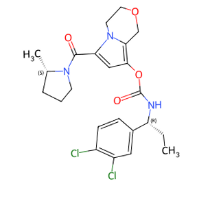 CC[C@@H](NC(=O)Oc1cc(C(=O)N2CCC[C@@H]2C)n2c1COCC2)c1ccc(Cl)c(Cl)c1